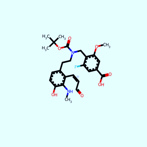 CNc1c(O)ccc(CCN(Cc2c(F)cc(C(=O)O)cc2OC)C(=O)OC(C)(C)C)c1/C=C\C=O